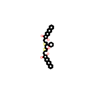 O=C1C(=Cc2cc3c(s2)-c2sc(C=C4C(=O)c5cc6cc7ccccc7cc6cc5C4=O)cc2C2(CCCCC2)O3)C(=O)c2cc3cc4ccccc4cc3cc21